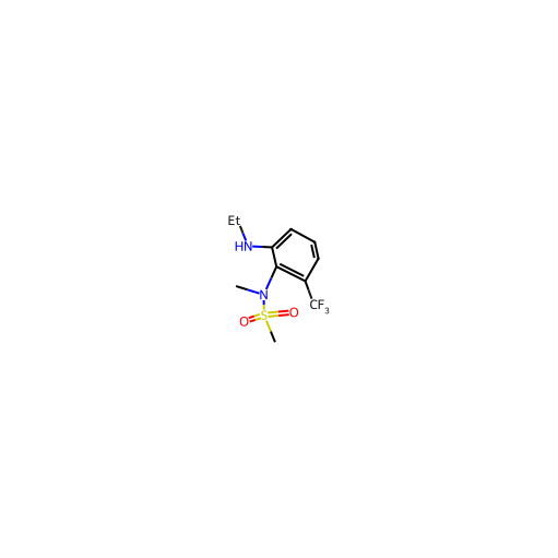 CCNc1cccc(C(F)(F)F)c1N(C)S(C)(=O)=O